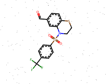 O=[C]c1ccc2c(c1)N(S(=O)(=O)c1ccc(C(F)(F)F)cc1)CCS2